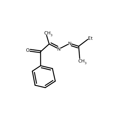 CCC(C)=NN=C(C)C(=O)c1ccccc1